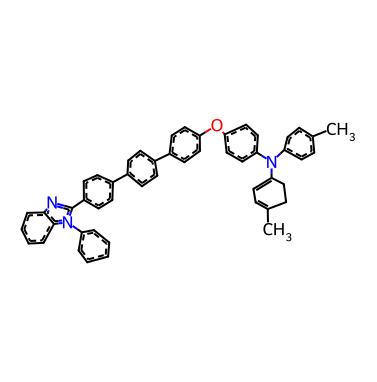 CC1=CC=C(N(c2ccc(C)cc2)c2ccc(Oc3ccc(-c4ccc(-c5ccc(-c6nc7ccccc7n6-c6ccccc6)cc5)cc4)cc3)cc2)CC1